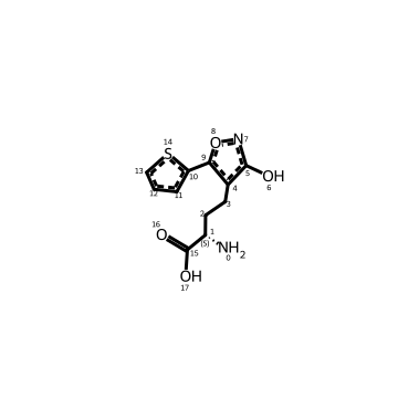 N[C@@H](CCc1c(O)noc1-c1cccs1)C(=O)O